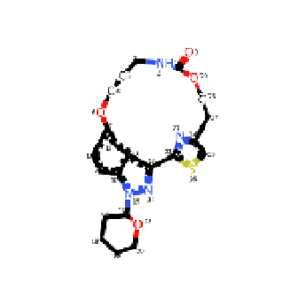 O=C1NCCCOc2ccc3c(c2)c(nn3C2CCCCO2)-c2nc(cs2)CCO1